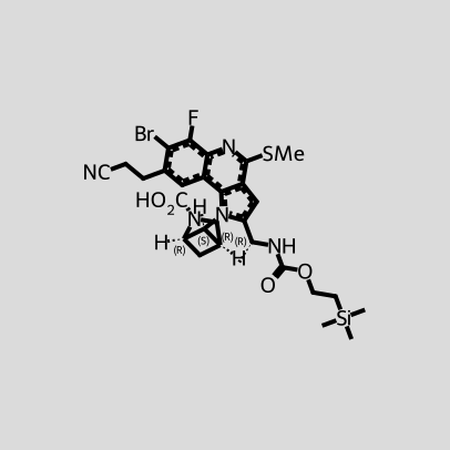 CSc1nc2c(F)c(Br)c(CCC#N)cc2c2c1cc([C@@H](C)NC(=O)OCC[Si](C)(C)C)n2[C@H]1[C@@H]2C[C@H]1N(C(=O)O)C2